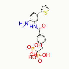 Nc1ccc(-c2cccs2)cc1NC(=O)c1ccc(CC(P(=O)(O)O)P(=O)(O)O)cc1